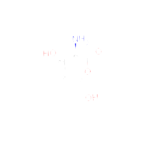 COC1O[C@H](CO)[C@H](C)[C@H](O)[C@H]1N